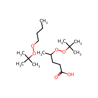 CC(CCC(=O)O)OOC(C)(C)C.CCCCOOC(C)(C)C